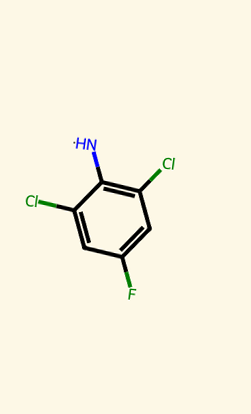 [NH]c1c(Cl)cc(F)cc1Cl